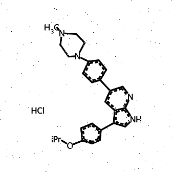 CC(C)Oc1ccc(-c2c[nH]c3ncc(-c4ccc(N5CCN(C)CC5)cc4)cc23)cc1.Cl